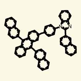 c1ccc2cc(-c3c4ccccc4c(-c4ccc5ccccc5c4)c4cc(-c5ccc(-n6c(-c7ccc8ccccc8c7)nc7ccccc76)cc5)ccc34)ccc2c1